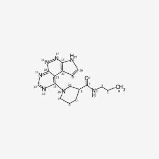 CCCNC(=O)C1CCCN(c2ncnc3nnc4[nH]ccc4c23)C1